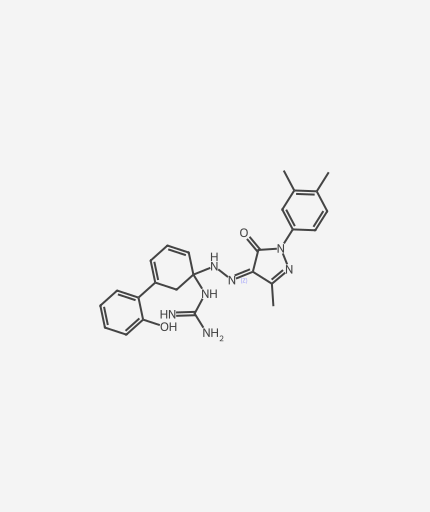 CC1=NN(c2ccc(C)c(C)c2)C(=O)/C1=N\NC1(NC(=N)N)C=CC=C(c2ccccc2O)C1